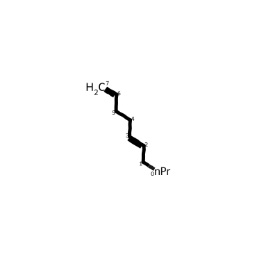 [CH2]CCCC=CCCC=C